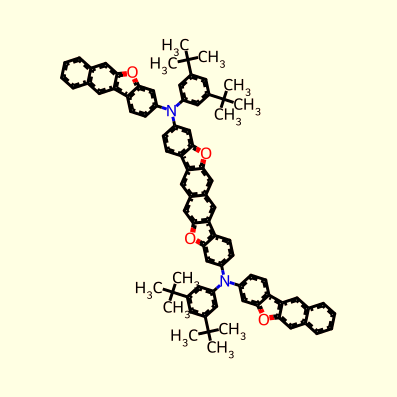 CC(C)(C)c1cc(N(c2ccc3c(c2)oc2cc4ccccc4cc23)c2ccc3c(c2)oc2cc4cc5c(cc4cc23)oc2cc(N(c3cc(C(C)(C)C)cc(C(C)(C)C)c3)c3ccc4c(c3)oc3cc6ccccc6cc34)ccc25)cc(C(C)(C)C)c1